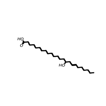 CCCCCCC=CCC(O)CCCCCCCCCCCCCC(=O)O